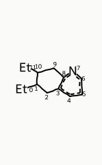 CCC1Cc2cccnc2CC1CC